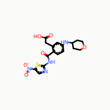 O=C(O)Cc1cc(NC2CCOCC2)ccc1C(=O)Nc1ncc([N+](=O)[O-])s1